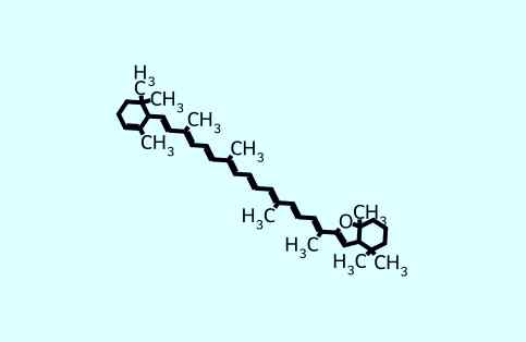 CC1=CCCC(C)(C)C1/C=C/C(C)=C/C=C/C(C)=C/C=C/C=C(C)/C=C/C=C(\C)C1=CC2C(C)(C)CCCC2(C)O1